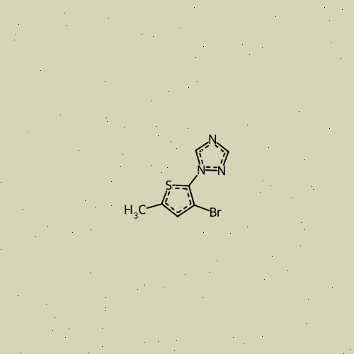 Cc1cc(Br)c(-n2cncn2)s1